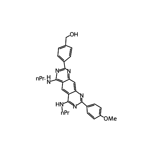 CCCNc1nc(-c2ccc(CO)cc2)nc2cc3nc(-c4ccc(OC)cc4)nc(NCCC)c3cc12